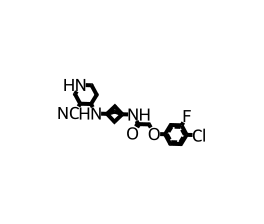 N#CC1CNCCC1NC12CC(NC(=O)COc3ccc(Cl)c(F)c3)(C1)C2